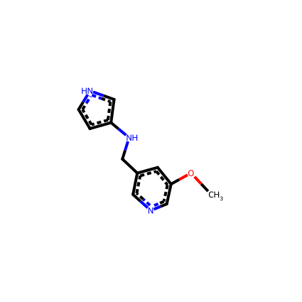 COc1cncc(CNc2cc[nH]c2)c1